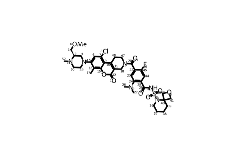 COC[C@H]1CN(c2cc(Cl)c3c4c(c(=O)oc3c2C)CN(C(=O)c2cc(N(C)C)c(C(=O)NS(=O)(=O)N3CCCCC35COC5)cc2F)CC4)CCN1C